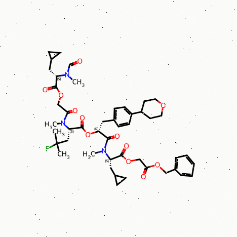 CN(C=O)[C@@H](CC1CC1)C(=O)OCC(=O)N(C)[C@@H](CC(C)(C)F)C(=O)O[C@H](Cc1ccc(C2CCOCC2)cc1)C(=O)N(C)[C@@H](CC1CC1)C(=O)OCC(=O)OCc1ccccc1